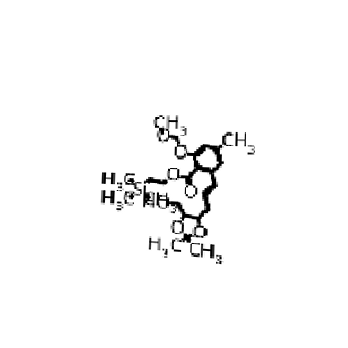 COCOc1cc(C)cc(/C=C/CC2OC(C)(C)OC2CO)c1C(=O)OCC[Si](C)(C)C